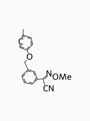 CON=C(C#N)c1cccc(COc2ccc(C)cc2)c1